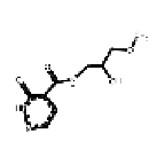 COCC(O)CNC(=O)c1ccn[nH]c1=O